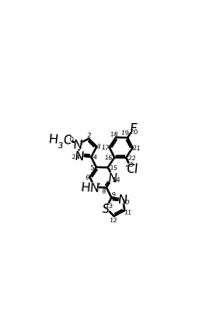 Cn1ccc(C2=CNC(c3nccs3)=NC2c2ccc(F)cc2Cl)n1